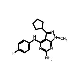 Cn1nc(C2CCCC2)c2c(Nc3ccc(F)cc3)nc(N)nc21